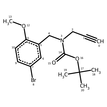 C#CCN(Cc1cc(Br)ccc1OC)C(=O)OC(C)(C)C